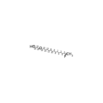 CC(F)CCCCCCCCCCCCCCOCCCO